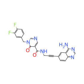 Nc1ncnc2ccc(C#CCNC(=O)c3cncn(Cc4ccc(F)c(F)c4)c3=O)cc12